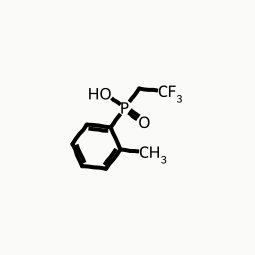 Cc1ccccc1P(=O)(O)CC(F)(F)F